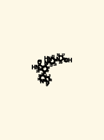 Cn1ccc2c(-c3ccc(Nc4ccc(N5CCC(O)C5)cn4)c4c3CNC4=O)ccnc21